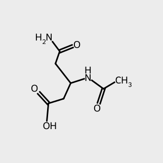 CC(=O)NC(CC(N)=O)CC(=O)O